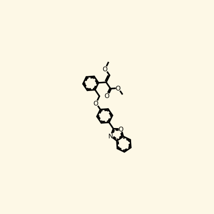 CO/C=C(/C(=O)OC)c1ccccc1COc1ccc(-c2nc3ccccc3o2)cc1